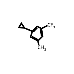 Cc1cc(C2CC2)cc(C(F)(F)F)c1